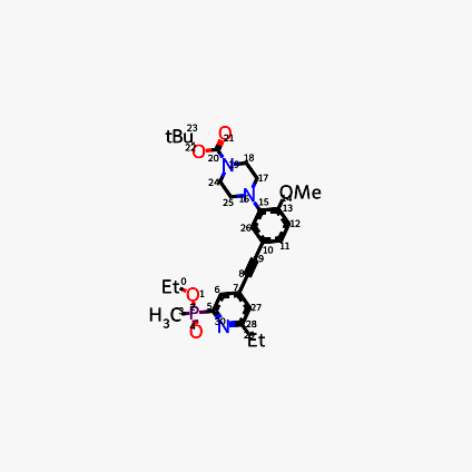 CCOP(C)(=O)c1cc(C#Cc2ccc(OC)c(N3CCN(C(=O)OC(C)(C)C)CC3)c2)cc(CC)n1